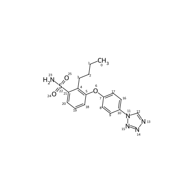 CCCCc1c(Oc2ccc(-n3cnnn3)cc2)cccc1S(N)(=O)=O